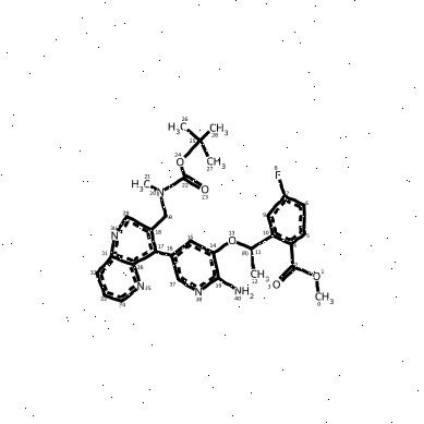 COC(=O)c1ccc(F)cc1[C@@H](C)Oc1cc(-c2c(CN(C)C(=O)OC(C)(C)C)cnc3cccnc23)cnc1N